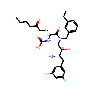 CCCCC(=O)CC[C@@H](NC(=O)O)C(=O)N(Cc1cccc(CC)c1)C[C@@H](O)[C@@H](N)Cc1cc(F)cc(F)c1